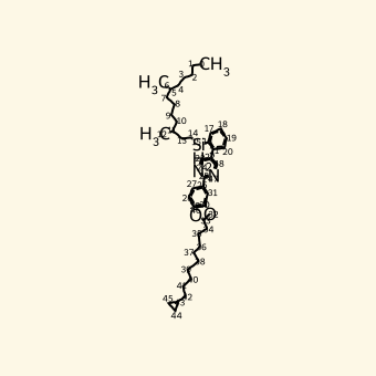 CCCCCC(C)CCCCC(C)CC[SiH2]c1ccccc1-c1cnc(-c2ccc3c(c2)OC(CCCCCCCCCC2CC2)O3)nc1